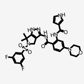 CC1(C)c2[nH]nc(NC(=O)c3ccc(N4CCOCC4)cc3NC(=O)c3cc[nH]c3)c2CN1S(=O)(=O)c1cc(F)cc(F)c1